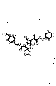 CC(=O)OCC1(C)S[C@H]2C(NC(=O)COc3ccccc3)C(=O)N2C1C(=O)OCc1ccc([N+](=O)[O-])cc1